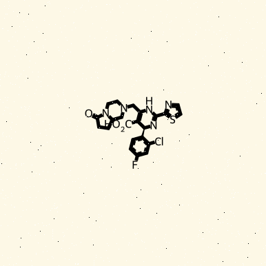 O=C(O)C1=C(CN2CCN3C(=O)CCC3C2)NC(c2nccs2)=N[C@H]1c1ccc(F)cc1Cl